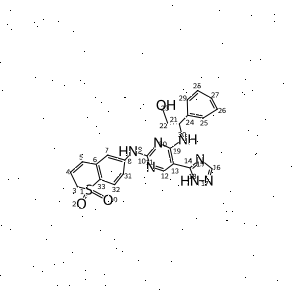 O=S1(=O)CC=Cc2cc(Nc3ncc(-c4ncn[nH]4)c(N[C@H](CO)c4ccccc4)n3)ccc21